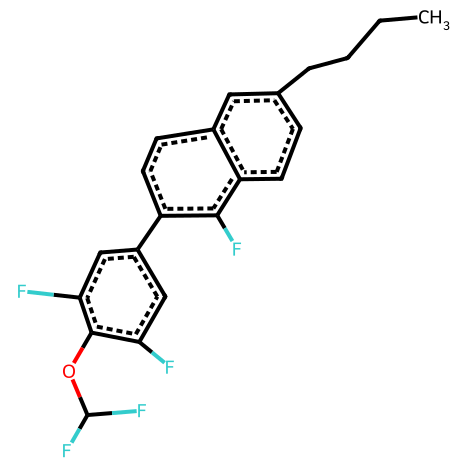 CCCCc1ccc2c(F)c(-c3cc(F)c(OC(F)F)c(F)c3)ccc2c1